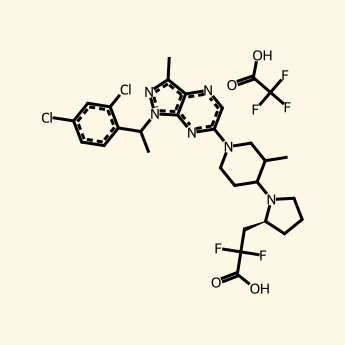 Cc1nn(C(C)c2ccc(Cl)cc2Cl)c2nc(N3CCC(N4CCC[C@H]4CC(F)(F)C(=O)O)C(C)C3)cnc12.O=C(O)C(F)(F)F